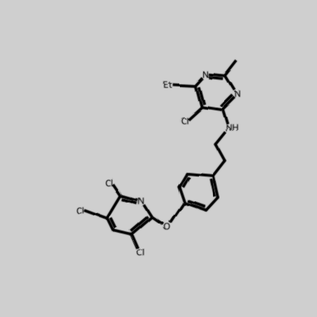 CCc1nc(C)nc(NCCc2ccc(Oc3nc(Cl)c(Cl)cc3Cl)cc2)c1Cl